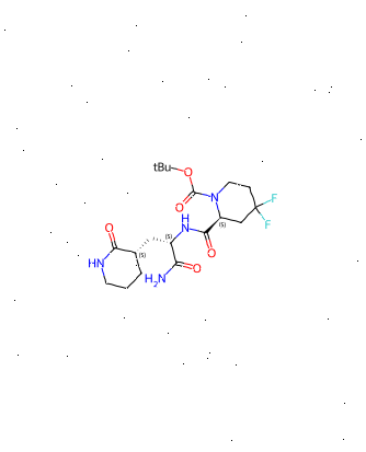 CC(C)(C)OC(=O)N1CCC(F)(F)C[C@H]1C(=O)N[C@@H](C[C@@H]1CCCNC1=O)C(N)=O